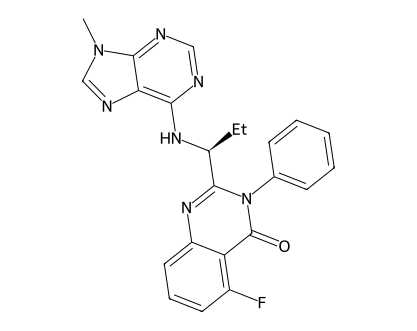 CC[C@H](Nc1ncnc2c1ncn2C)c1nc2cccc(F)c2c(=O)n1-c1ccccc1